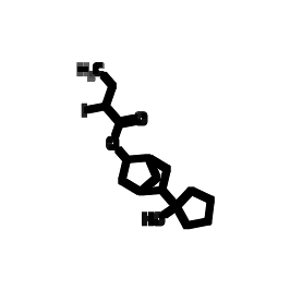 CCC(I)C(=O)OC1CC2CC1CC2C1(O)CCCC1